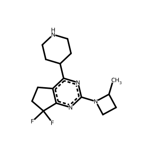 CC1CCN1c1nc(C2CCNCC2)c2c(n1)C(F)(F)CC2